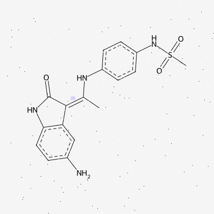 C/C(Nc1ccc(NS(C)(=O)=O)cc1)=C1/C(=O)Nc2ccc(N)cc21